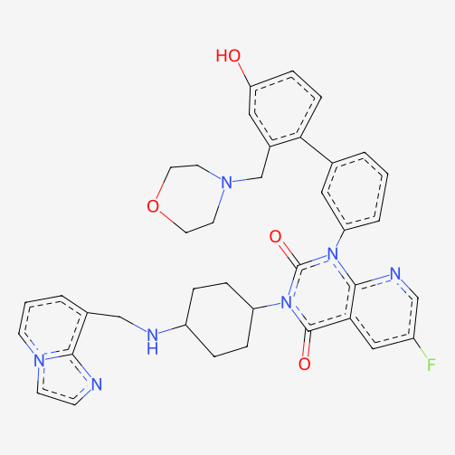 O=c1c2cc(F)cnc2n(-c2cccc(-c3ccc(O)cc3CN3CCOCC3)c2)c(=O)n1C1CCC(NCc2cccn3ccnc23)CC1